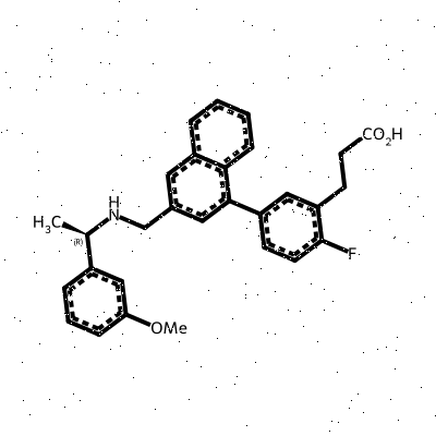 COc1cccc([C@@H](C)NCc2cc(-c3ccc(F)c(CCC(=O)O)c3)c3ccccc3c2)c1